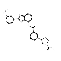 CCCNc1cc(-c2nc3c(NC(=O)c4cccc(C5CCN(C(=O)OC(C)(C)C)C5)c4)cccc3[nH]2)ccn1